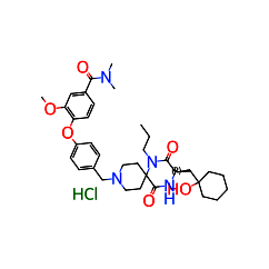 CCCN1C(=O)[C@@H](CC2(O)CCCCC2)NC(=O)C12CCN(Cc1ccc(Oc3ccc(C(=O)N(C)C)cc3OC)cc1)CC2.Cl